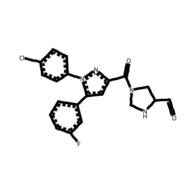 O=CC1CN(C(=O)c2cc(-c3cccc(F)c3)n(-c3ccc(Cl)cc3)n2)CN1